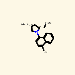 COC[C@H]1C[C@@H](OC)CN1c1ccc(C#N)c2ccccc12